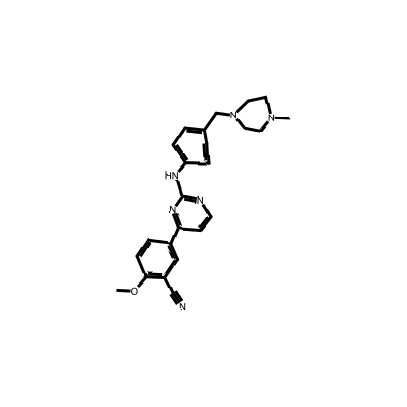 COc1ccc(-c2ccnc(Nc3ccc(CN4CCN(C)CC4)cc3)n2)cc1C#N